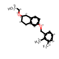 Cc1c(COc2ccc3c(c2)CCC(OCC(=O)O)C3)cccc1C(F)(F)F